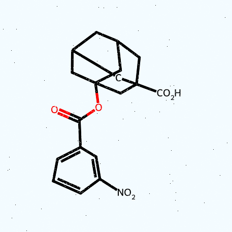 O=C(OC12CC3CC(C1)CC(C(=O)O)(C3)C2)c1cccc([N+](=O)[O-])c1